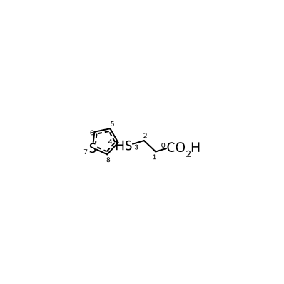 O=C(O)CCS.c1ccsc1